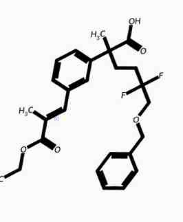 CCOC(=O)/C(C)=C/c1cccc(C(C)(CCC(F)(F)COCc2ccccc2)C(=O)O)c1